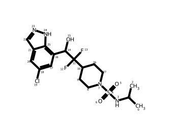 CC(C)NS(=O)(=O)N1CCC(C(F)(F)C(O)c2cc(Cl)cc3cn[nH]c23)CC1